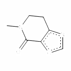 CN1CCc2ncoc2C1=O